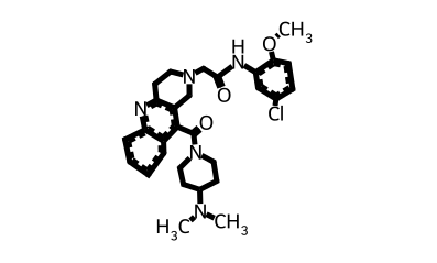 COc1ccc(Cl)cc1NC(=O)CN1CCc2nc3ccccc3c(C(=O)N3CCC(N(C)C)CC3)c2C1